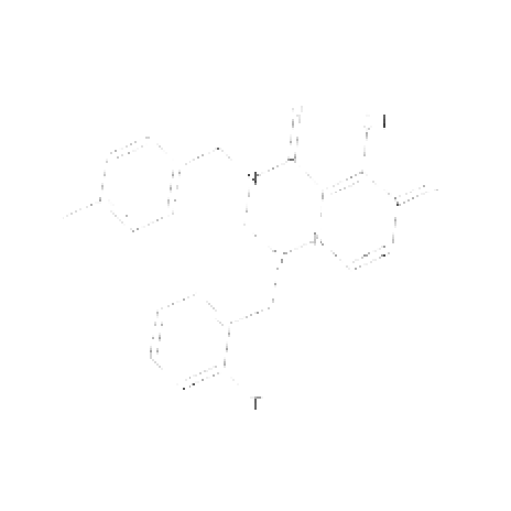 Cc1ccc(CN2CN(Cc3ccccc3F)n3ccc(=O)c(O)c3C2=O)cc1